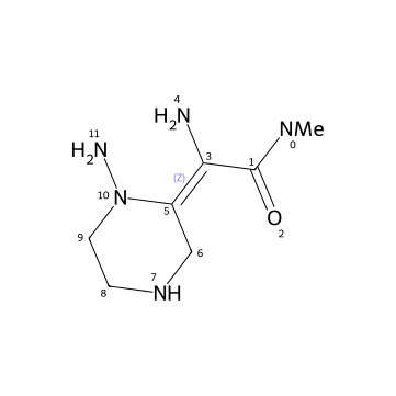 CNC(=O)/C(N)=C1\CNCCN1N